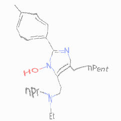 CCCCCc1nc(-c2ccc(C)cc2)n(O)c1CN(CC)CCC